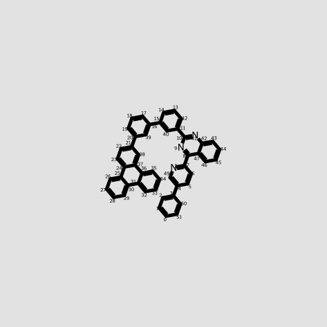 c1ccc(-c2ccc(-c3nc(-c4cccc(-c5cccc(-c6ccc7c8ccccc8c8ccccc8c7c6)c5)c4)nc4ccccc34)nc2)cc1